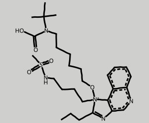 CCCC1=Nc2cnc3ccccc3c2[N+]1(CCCCNS(C)(=O)=O)OCCCCCCN(C(=O)O)C(C)(C)C